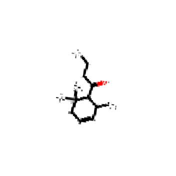 CCCC(=O)C1C(C)C=CCC1(C)C